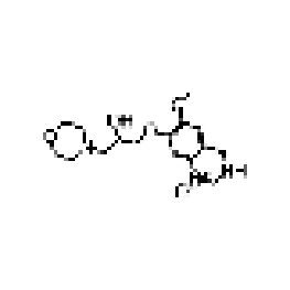 COc1cc2c(cc1OCC(O)CN1CCOCC1)[N+]([O-])=CNC2